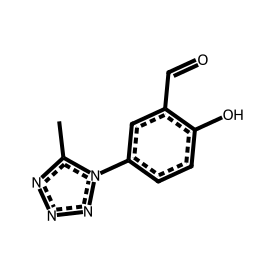 Cc1nnnn1-c1ccc(O)c(C=O)c1